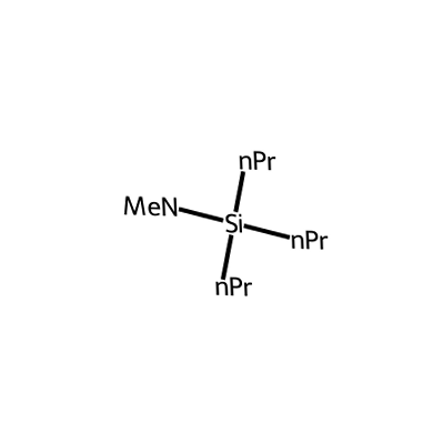 CCC[Si](CCC)(CCC)NC